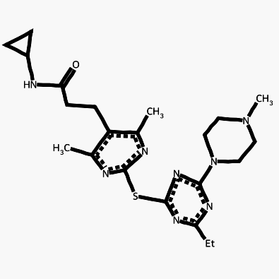 CCc1nc(Sc2nc(C)c(CCC(=O)NC3CC3)c(C)n2)nc(N2CCN(C)CC2)n1